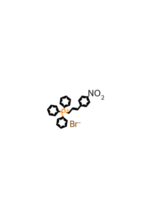 O=[N+]([O-])c1ccc(C=CC[P+](c2ccccc2)(c2ccccc2)c2ccccc2)cc1.[Br-]